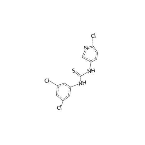 S=C(Nc1ccc(Cl)nc1)Nc1cc(Cl)cc(Cl)c1